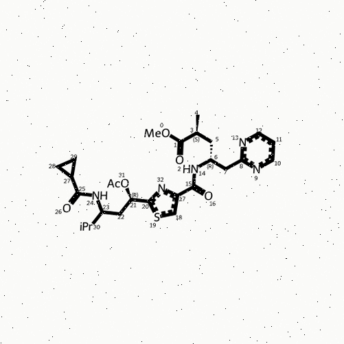 COC(=O)[C@@H](C)C[C@H](Cc1ncccn1)NC(=O)c1csc([C@@H](CC(NC(=O)C2CC2)C(C)C)OC(C)=O)n1